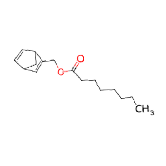 CCCCCCCC(=O)OCC1=CC2C=CC1C2